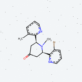 Cc1cccnc1[C@@H]1CC(=O)C[C@H](c2ncccc2Br)N1C